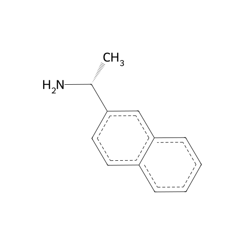 C[C@@H](N)c1ccc2ccccc2c1